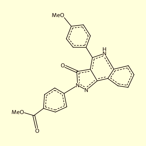 COC(=O)c1ccc(-n2nc3c4ccccc4[nH]c(-c4ccc(OC)cc4)c-3c2=O)cc1